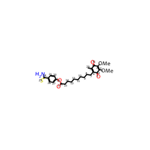 COC1=C(OC)C(=O)C(CCCCCCCCCC(=O)Oc2ccc(C(N)=S)cc2)=C(C)C1=O